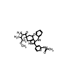 COCC(C)N(C)C(=O)C1(C)CC(=O)c2c([nH]c(-c3ccnc(NC(C)=O)c3)c2Nc2ccccc2)C1